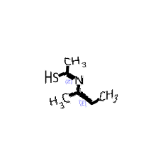 C/C=C(C)\N=C(\C)S